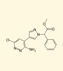 COC(=O)C(c1ccccc1)n1cc(-c2cc(Cl)nnc2N)cn1